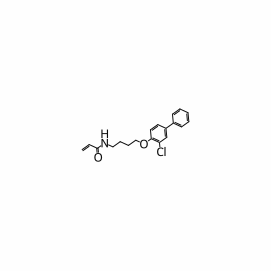 C=CC(=O)NCCCCOc1ccc(-c2ccccc2)cc1Cl